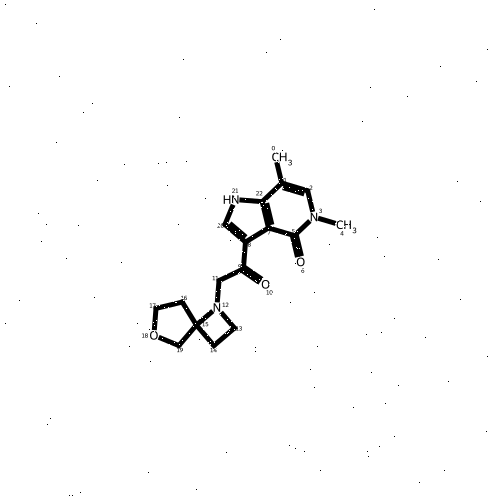 Cc1cn(C)c(=O)c2c(C(=O)CN3CCC34CCOC4)c[nH]c12